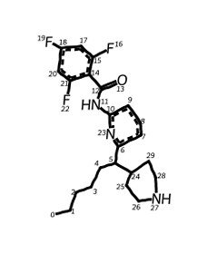 CCCCCC(c1cccc(NC(=O)c2c(F)cc(F)cc2F)n1)C1CCNCC1